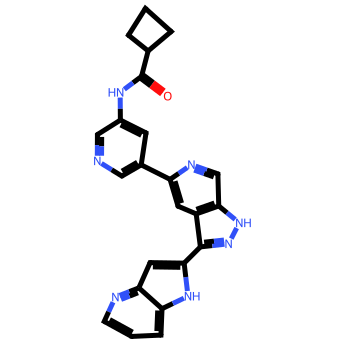 O=C(Nc1cncc(-c2cc3c(-c4cc5ncccc5[nH]4)n[nH]c3cn2)c1)C1CCC1